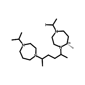 CC(C)N1CCCN(C(C)CCC(C)N2CCN(C(C)I)CC[C@@H]2C)CC1